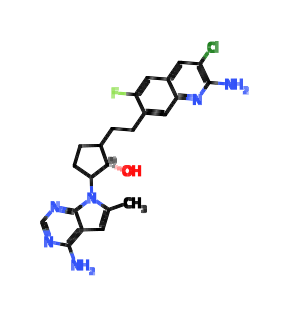 Cc1cc2c(N)ncnc2n1C1CCC(CCc2cc3nc(N)c(Cl)cc3cc2F)[C@@H]1O